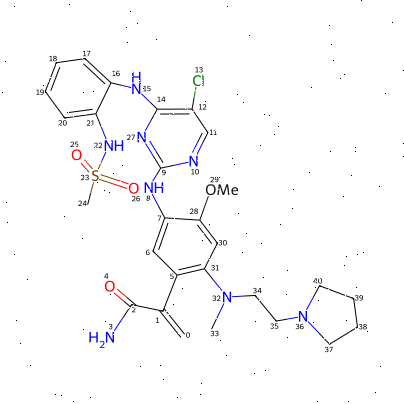 C=C(C(N)=O)c1cc(Nc2ncc(Cl)c(Nc3ccccc3NS(C)(=O)=O)n2)c(OC)cc1N(C)CCN1CCCC1